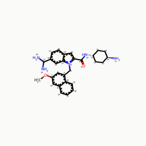 COc1cc(Cn2c(C(=O)N[C@H]3CC[C@H](N)CC3)cc3ccc(C(N)N)cc32)c2ccccc2c1